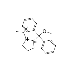 COC(c1ccccc1)(c1ccccc1)[C@@H]1CCCN1C(C)C